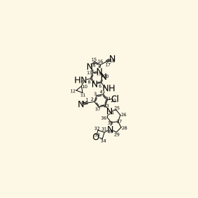 N#Cc1cc(Nc2nc(NC3CC3)c3ncc(C#N)n3n2)c(Cl)c(N2CCC3CCN(C4COC4)C3C2)c1